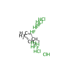 C=C.C=CC.Cl.Cl.Cl.Cl.F.F.F.F.F.F